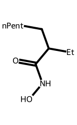 CCCCCCC(CC)C(=O)NO